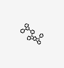 c1ccc(-c2cc(-c3cccc(-n4c5ccccc5c5cc6c7ccccc7n(-c7ccccc7)c6cc54)c3)cc3ccccc23)cc1